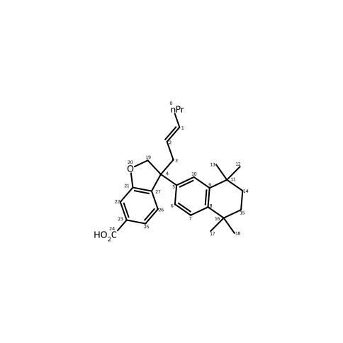 CCCC=CCC1(c2ccc3c(c2)C(C)(C)CCC3(C)C)COc2cc(C(=O)O)ccc21